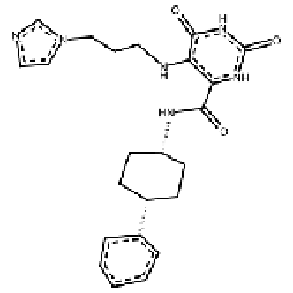 O=C(N[C@H]1CC[C@@H](c2ccccc2)CC1)c1[nH]c(=O)[nH]c(=O)c1NCCCn1ccnc1